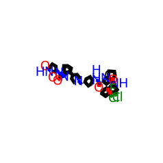 Cn1c(=O)n(C2CCC(=O)NC2=O)c2cccc(C3CCN(C[C@H]4CC[C@H](NC(=O)[C@@H]5NC6(CCCCC6)[C@@]6(C(=O)Nc7cc(Cl)ccc76)[C@H]5c5cccc(Cl)c5F)CC4)CC3)c21